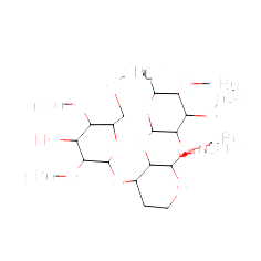 CCCCOCC1OCCC(OC2OC(COCCCC)C(OCCCC)C(O)C2OCCCC)C1OC1OC(C)C(OCCCC)C(OCCCC)C1OCCCC